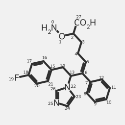 NOC(CCC=C(c1ccccc1)C(Cc1ccc(F)cc1)n1ccnc1)C(=O)O